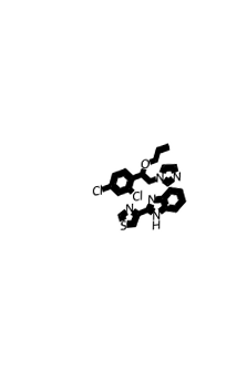 C=CCOC(Cn1ccnc1)c1ccc(Cl)cc1Cl.c1ccc2[nH]c(-c3cscn3)nc2c1